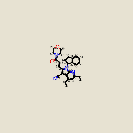 CCc1cc(CC)c2c(C#N)c(/C=C/C(=O)N3CCOCC3)n(C3CCc4ccccc43)c2n1